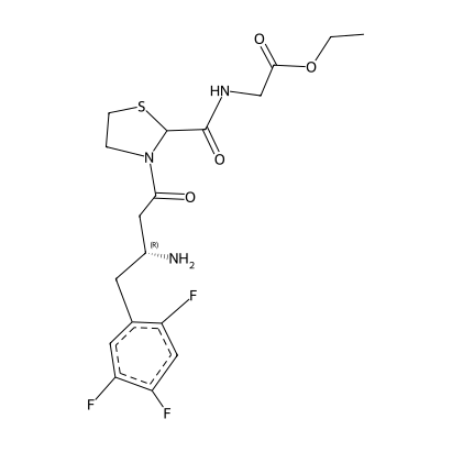 CCOC(=O)CNC(=O)C1SCCN1C(=O)C[C@H](N)Cc1cc(F)c(F)cc1F